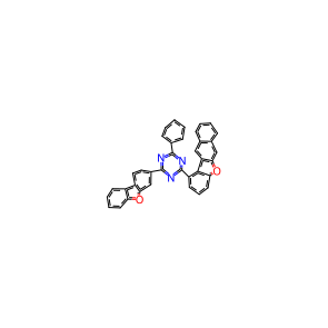 c1ccc(-c2nc(-c3ccc4c(c3)oc3ccccc34)nc(-c3cccc4oc5cc6ccccc6cc5c34)n2)cc1